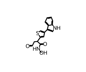 O=CCC(C(=O)NO)c1cc(-c2c[nH]c3ccccc23)cs1